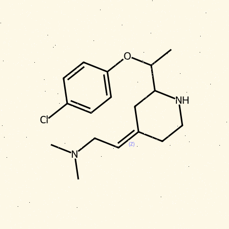 CC(Oc1ccc(Cl)cc1)C1C/C(=C\CN(C)C)CCN1